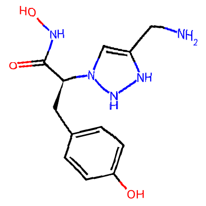 NCC1=CN([C@@H](Cc2ccc(O)cc2)C(=O)NO)NN1